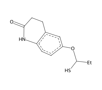 CCC(S)Oc1ccc2c(c1)CCC(=O)N2